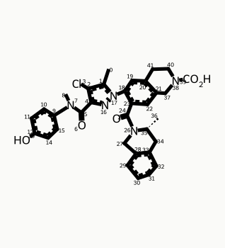 Cc1c(Cl)c(C(=O)N(C)c2ccc(O)cc2)nn1-c1cc2c(cc1C(=O)N1Cc3ccccc3C[C@H]1C)CN(C(=O)O)CC2